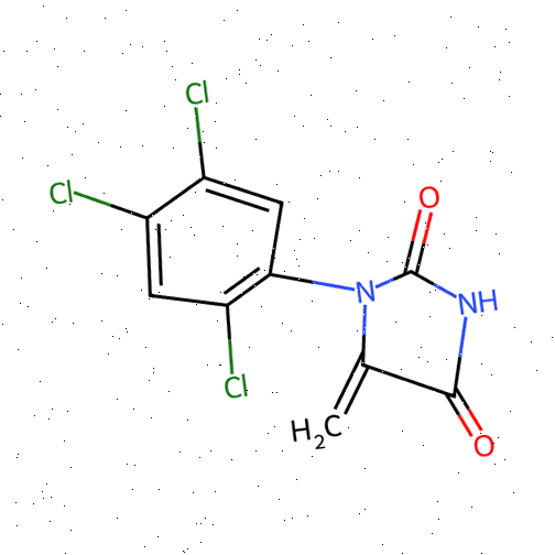 C=C1C(=O)NC(=O)N1c1cc(Cl)c(Cl)cc1Cl